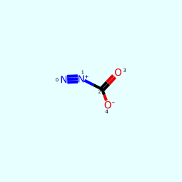 N#[N+]C(=O)[O-]